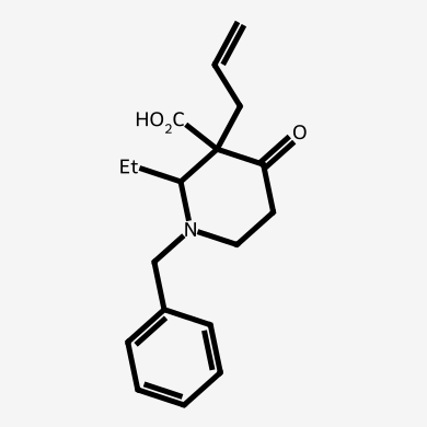 C=CCC1(C(=O)O)C(=O)CCN(Cc2ccccc2)C1CC